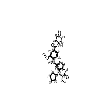 CCN1C(=O)N(C)c2cnc(Nc3ccc(C(=O)NC4CCNCC4)cc3OC)nc2N1C1CCCC1